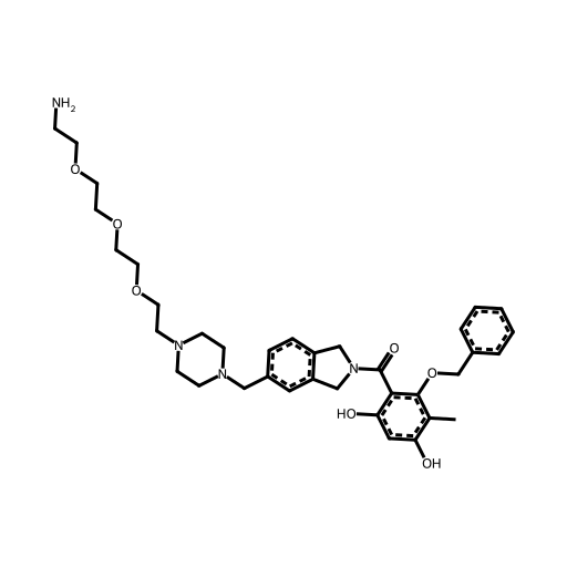 Cc1c(O)cc(O)c(C(=O)N2Cc3ccc(CN4CCN(CCOCCOCCOCCN)CC4)cc3C2)c1OCc1ccccc1